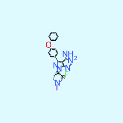 Nc1ncnc2c1c(-c1ccc(Oc3ccccc3)cc1)nn2[C@@H]1CCN(I)C[C@@H]1F